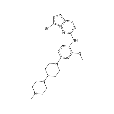 COc1cc(N2CCC(N3CCN(C)CC3)CC2)ccc1Nc1ncc2ccc(Br)n2n1